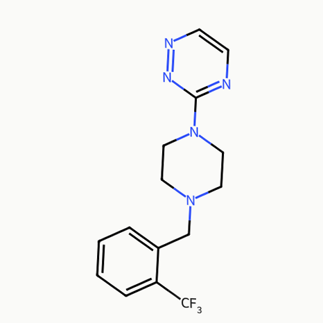 FC(F)(F)c1ccccc1CN1CCN(c2nccnn2)CC1